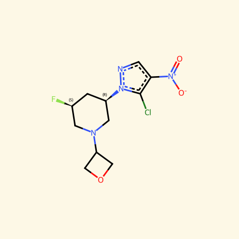 O=[N+]([O-])c1cnn([C@@H]2C[C@H](F)CN(C3COC3)C2)c1Cl